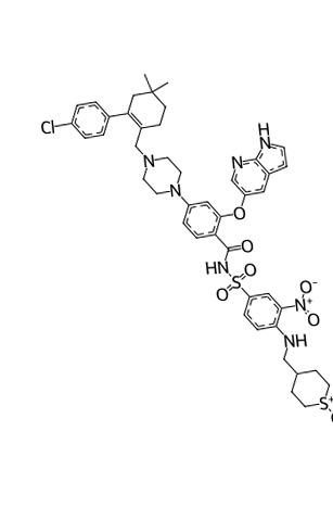 CC1(C)CCC(CN2CCN(c3ccc(C(=O)NS(=O)(=O)c4ccc(NCC5CC[S+]([O-])CC5)c([N+](=O)[O-])c4)c(Oc4cnc5[nH]ccc5c4)c3)CC2)=C(c2ccc(Cl)cc2)C1